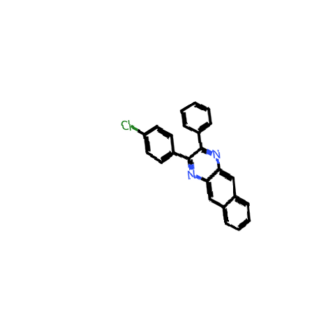 Clc1ccc(-c2nc3cc4ccccc4cc3nc2-c2ccccc2)cc1